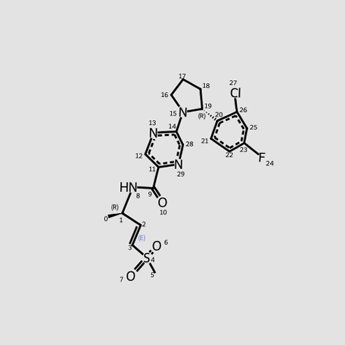 C[C@H](/C=C/S(C)(=O)=O)NC(=O)c1cnc(N2CCC[C@@H]2c2ccc(F)cc2Cl)cn1